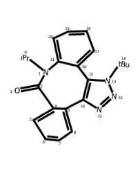 CC(C)N1C(=O)c2ccccc2-c2nnn(C(C)(C)C)c2-c2ccccc21